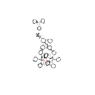 C[Si]1(CC[Si]2(C)C(c3ccccc3)=C(c3ccccc3)C(c3cccc(-c4ccc([Si](c5ccccc5)(c5ccccc5)c5ccc(-c6nnc(-c7ccc(N(c8ccccc8)c8ccccc8)cc7)o6)cc5)cc4)c3)=C2c2ccccc2)C(c2ccccc2)=C(c2ccccc2)C(c2ccccc2)=C1c1ccccc1